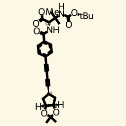 COC(=O)[C@@H](NC(=O)c1ccc(C#CC#C[C@H]2C[C@@H]3OC(C)(C)O[C@@H]3C2)cc1)C(C)(C)NC(=O)OC(C)(C)C